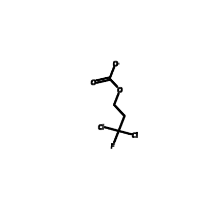 [O]C(=O)OCCC(F)(Cl)Cl